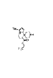 CCOC(=O)N1CCn2c(C#N)ccc2C12CCNCC2